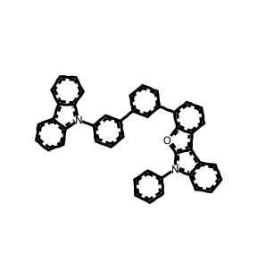 c1ccc(-n2c3ccccc3c3c4cccc(-c5cccc(-c6cccc(-n7c8ccccc8c8ccccc87)c6)c5)c4oc32)cc1